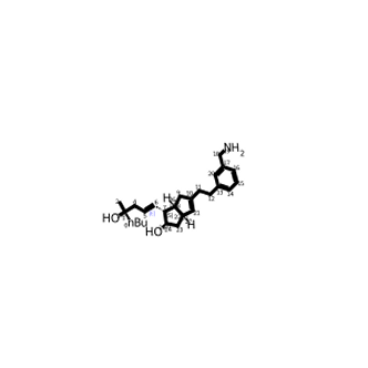 CCCC[C@](C)(O)C/C=C/[C@@H]1[C@H]2CC(CCc3cccc(CN)c3)=C[C@H]2C[C@H]1O